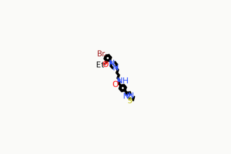 CCOc1cc(Br)ccc1N1CCN(CCCCNC(=O)c2ccc(-c3cn4ccsc4n3)cc2)CC1